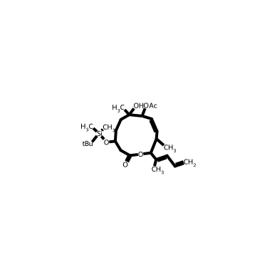 C=CC=C(C)C1OC(=O)CC(O[Si](C)(C)C(C)(C)C)CCC(C)(O)C(OC(C)=O)C=CC1C